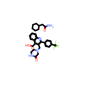 NC(=O)CC1CCCCC1.O=C1CN(Cc2c(-c3ccc(C(F)(F)F)cc3)nc3ccccc3c2C(=O)O)CCN1